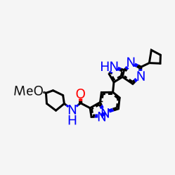 COC1CCC(NC(=O)c2cnn3ccc(-c4c[nH]c5nc(C6CCC6)ncc45)cc23)CC1